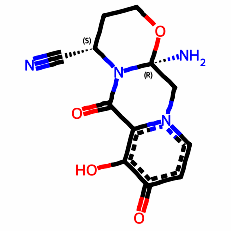 N#C[C@@H]1CCO[C@@]2(N)Cn3ccc(=O)c(O)c3C(=O)N12